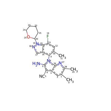 Cc1cc2c(C#N)c(N)n(-c3c(C)cc(F)c4c3cnn4C3CCCCO3)c2nc1C